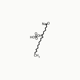 CCCCCCCCCCCCCCCCC[C](=O)[Na].O=S(=O)(O)O